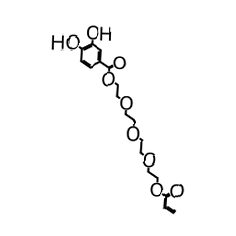 C=CC(=O)OCCOCCOCCOCCOC(=O)c1ccc(O)c(O)c1